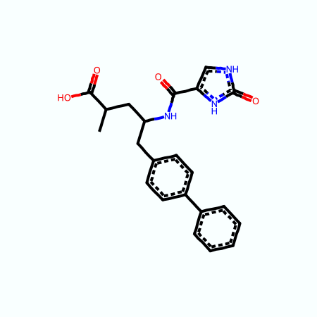 CC(CC(Cc1ccc(-c2ccccc2)cc1)NC(=O)c1c[nH]c(=O)[nH]1)C(=O)O